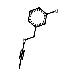 CC#CNCc1cccc(Cl)c1